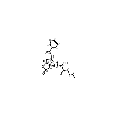 CCCCC(F)[C@H](O)C=C[C@@H]1[C@H]2CC(=O)O[C@H]2C[C@H]1OC(=O)c1ccccc1